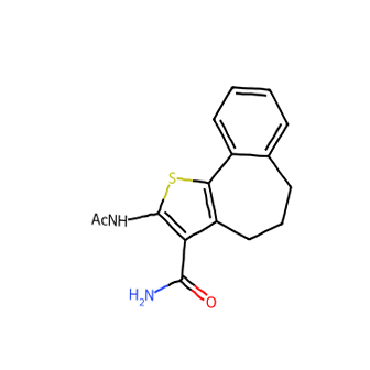 CC(=O)Nc1sc2c(c1C(N)=O)CCCc1ccccc1-2